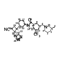 C[C@H]1CCCN(Cc2cc3c(c(C(F)(F)F)c2)CN(c2cccc([C@]4(Cc5nncn5C)C[C@@H](C#N)C4)c2)C3=O)C1